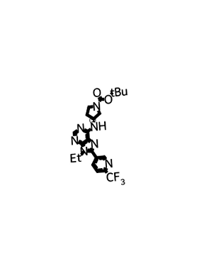 CCn1c(-c2ccc(C(F)(F)F)nc2)nc2c(N[C@H]3CCN(C(=O)OC(C)(C)C)C3)ncnc21